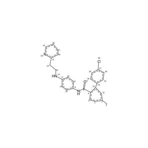 Cc1ccc(C(=O)Nc2ccc(NCCc3ccccn3)cc2)c(-c2ccc(Cl)cc2)c1